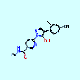 CCC(C)NC(=O)c1ccc(-n2ncc(-c3ccc(C#N)cc3C)c2O)nc1